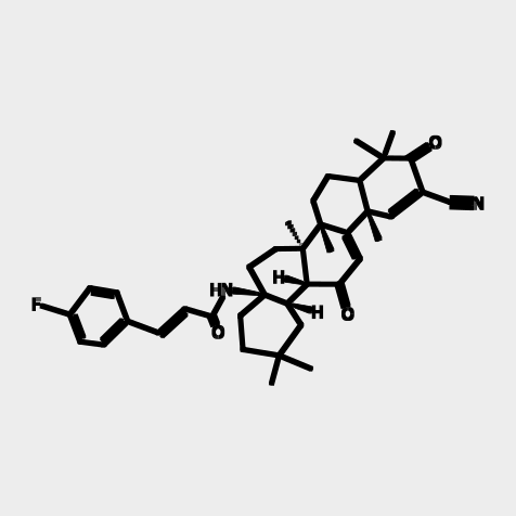 CC1(C)CC[C@]2(NC(=O)/C=C/c3ccc(F)cc3)CC[C@]3(C)[C@H](C(=O)C=C4[C@@]5(C)C=C(C#N)C(=O)C(C)(C)C5CC[C@]43C)[C@@H]2C1